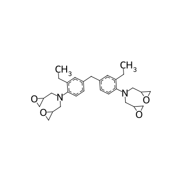 CCc1cc(Cc2ccc(N(CC3CO3)CC3CO3)c(CC)c2)ccc1N(CC1CO1)CC1CO1